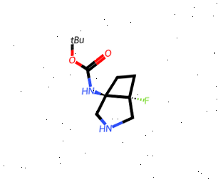 CC(C)(C)OC(=O)N[C@@]12CC[C@@]1(F)CNC2